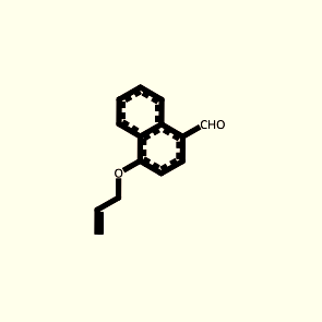 C=CCOc1ccc(C=O)c2ccccc12